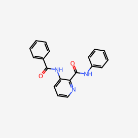 O=C(Nc1cccnc1C(=O)Nc1ccccc1)c1ccccc1